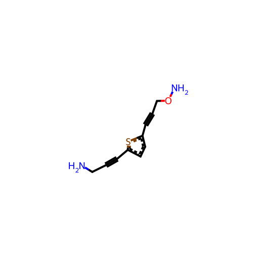 NCC#Cc1ccc(C#CCON)s1